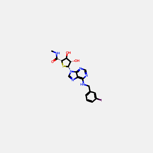 CNC(=O)[C@H]1S[C@@H](n2cnc3c(NCc4cccc(I)c4)ncnc32)[C@@H](O)C1O